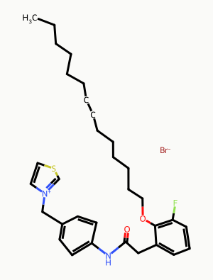 CCCCCCCCCCCCCCOc1c(F)cccc1CC(=O)Nc1ccc(C[n+]2ccsc2)cc1.[Br-]